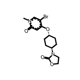 Cn1cc(Br)c(O[C@H]2CC[C@H](N3CCOC3=O)CC2)cc1=O